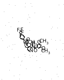 COc1cc(OC)cc(C(=O)Nc2cc(CN3CN(c4ccc(SC(F)(F)F)cc4)C(=O)C3(C)C)ccn2)c1